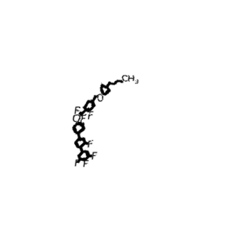 CCCCCc1ccc(OCc2ccc(C(F)(F)Oc3ccc(-c4ccc(-c5cc(F)c(F)c(F)c5)c(F)c4)cc3)c(F)c2)cc1